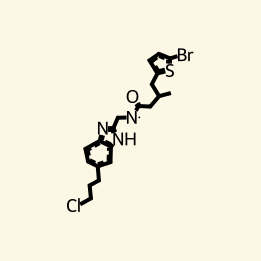 CC(CC(=O)[N]Cc1nc2ccc(CCCCl)cc2[nH]1)Cc1ccc(Br)s1